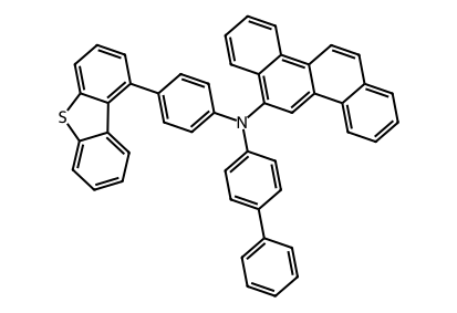 c1ccc(-c2ccc(N(c3ccc(-c4cccc5sc6ccccc6c45)cc3)c3cc4c5ccccc5ccc4c4ccccc34)cc2)cc1